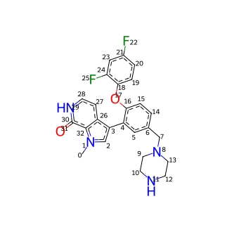 Cn1cc(-c2cc(CN3CCNCC3)ccc2Oc2ccc(F)cc2F)c2cc[nH]c(=O)c21